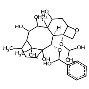 CC(O)O[C@@]12COC1CC(O)C1(C)C(O)C(O)C3C(C)CCC(O)([C@@H](OC(O)c4ccccc4)[C@@H]12)C3(C)C